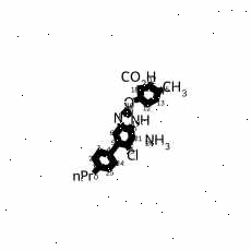 CCCc1ccc(-c2cc3nc(Oc4ccc(C)c(C(=O)O)c4)[nH]c3cc2Cl)cc1.N